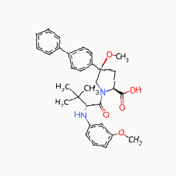 COc1cccc(N[C@@H](C(=O)N2C[C@](OC)(c3ccc(-c4ccccc4)cc3)C[C@H]2C(=O)O)C(C)(C)C)c1